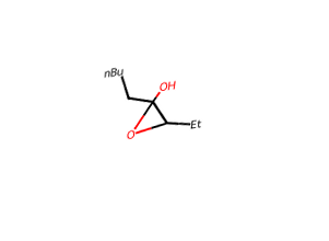 CCCCCC1(O)OC1CC